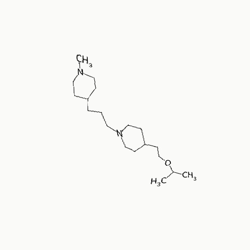 CC(C)OCCC1CCN(CCCC2CCN(C)CC2)CC1